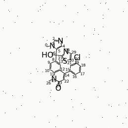 Cn1cncc1C(O)(c1ccc2c(c1)c(-c1cccc(Cl)c1)cc(=O)n2C)c1nccs1